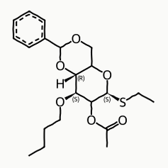 CCCCO[C@@H]1C(OC(C)=O)[C@H](SCC)OC2COC(c3ccccc3)O[C@H]21